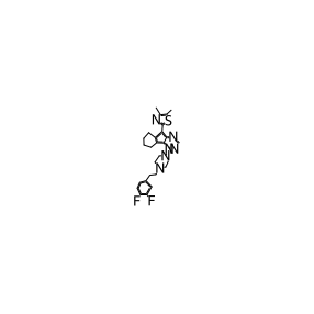 Cc1nc(-c2c3ncnn(N4CCN(CCc5ccc(F)c(F)c5)CC4)c-3c3c2CCCC3)sc1C